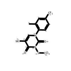 Cc1cc(C(F)(F)F)ccc1-n1cc(C#N)c(=O)n(SC(Cl)(Cl)Cl)c1=O